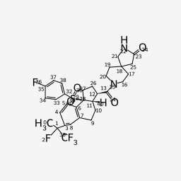 CC(F)(c1ccc2c(c1)CC[C@H]1[C@H](C(=O)N3CCC4(CC3)CNC(=O)C4)CC[C@@]21S(=O)(=O)c1ccc(F)cc1)C(F)(F)F